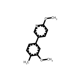 COc1ccc(-c2ccc(C)c(OC)c2)cn1